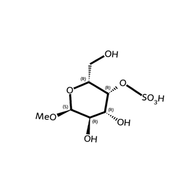 CO[C@H]1O[C@H](CO)[C@H](OS(=O)(=O)O)[C@H](O)[C@H]1O